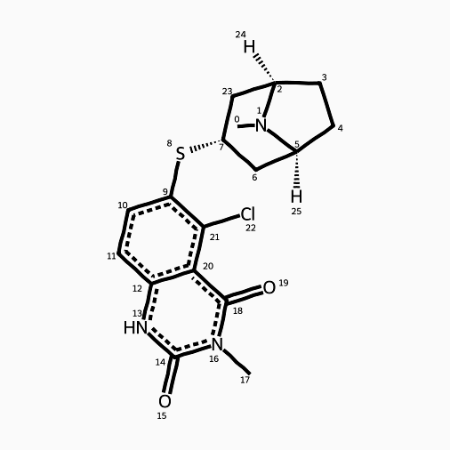 CN1[C@@H]2CC[C@H]1C[C@H](Sc1ccc3[nH]c(=O)n(C)c(=O)c3c1Cl)C2